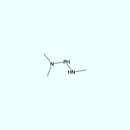 CNPN(C)C